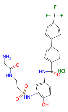 Cl.NCC(=O)NCCS(=O)(=O)Nc1cc(NC(=O)c2ccc(-c3ccc(C(F)(F)F)cc3)cc2)ccc1O